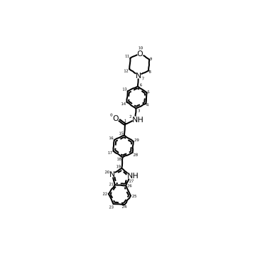 O=C(Nc1ccc(N2CCOCC2)cc1)c1ccc(-c2nc3ccccc3[nH]2)cc1